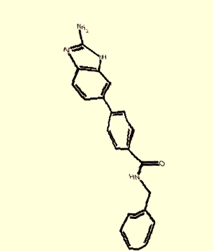 Nc1nc2ccc(-c3ccc(C(=O)NCc4ccccc4)cc3)cc2[nH]1